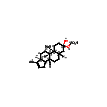 CC(=O)C1=CCC2[C@H]3CC[C@H]4C[C@](O)(OS(=O)(=O)O)CC[C@]4(C)[C@@H]3CC[C@]12C.[NaH]